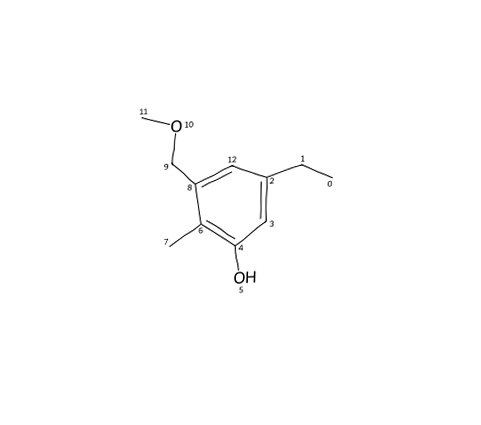 CCc1cc(O)c(C)c(COC)c1